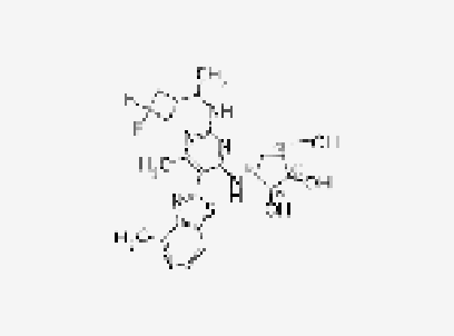 Cc1nc(NC(C)C2CC(F)(F)C2)nc(N[C@@H]2C[C@H](CO)[C@@H](O)[C@H]2O)c1-c1nc2c(C)nccc2s1